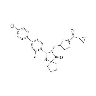 O=C(C1CC1)N1CCC(CN2C(=O)C3(CCCC3)N=C2c2ccc(-c3ccc(Cl)cc3)cc2F)C1